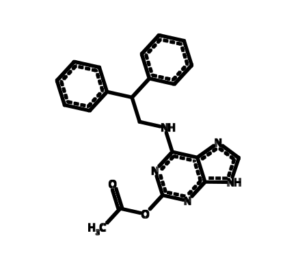 CC(=O)Oc1nc(NCC(c2ccccc2)c2ccccc2)c2nc[nH]c2n1